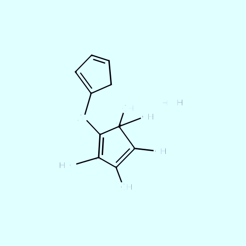 CC1=C(C)C(C)(C)[C]([Zr][C]2=CC=CC2)=C1C.[H-].[H-]